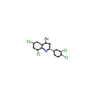 CC(=O)c1cc(-c2ccc(Cl)c(Cl)c2)nc2c(Cl)cc(Cl)cc12